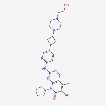 CC(=O)c1c(C)c2cnc(Nc3ccc(C4CC(N5CCN(CCO)CC5)C4)cn3)nc2n(C2CCCC2)c1=O